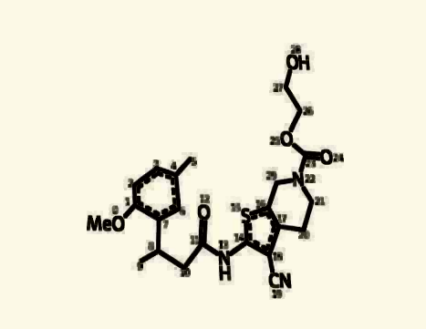 COc1ccc(C)cc1C(C)CC(=O)Nc1sc2c(c1C#N)CCN(C(=O)OCCO)C2